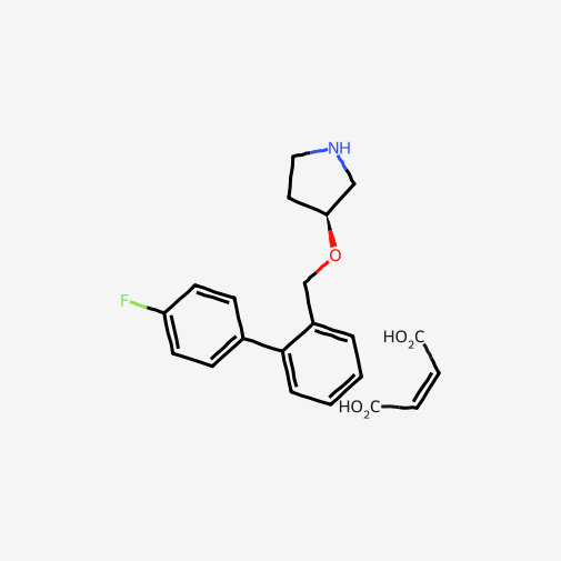 Fc1ccc(-c2ccccc2CO[C@H]2CCNC2)cc1.O=C(O)/C=C\C(=O)O